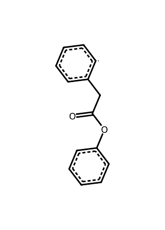 O=C(Cc1[c]cccc1)Oc1ccccc1